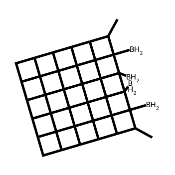 BC12C(C)C3C4C5C6CC7C8C9C%10CC%11C%12C%13C%14C(C)C%15(B)C%16(B)C1(B)C1%17C32C42C53C76C84C95C%10%11C%126C%137C%14%15C%161C71C56C43C2%171